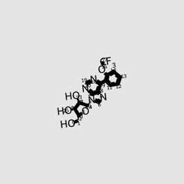 OC[C@H]1O[C@@H](n2cnc3c(-c4ccccc4OC(F)(F)F)ncnc32)[C@H](O)[C@@H]1O